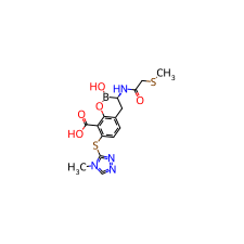 CSCC(=O)N[C@H]1Cc2ccc(Sc3nncn3C)c(C(=O)O)c2OB1O